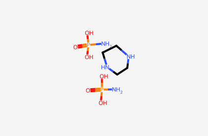 C1CNCCN1.NP(=O)(O)O.NP(=O)(O)O